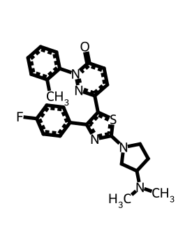 Cc1ccccc1-n1nc(-c2sc(N3CCC(N(C)C)C3)nc2-c2ccc(F)cc2)ccc1=O